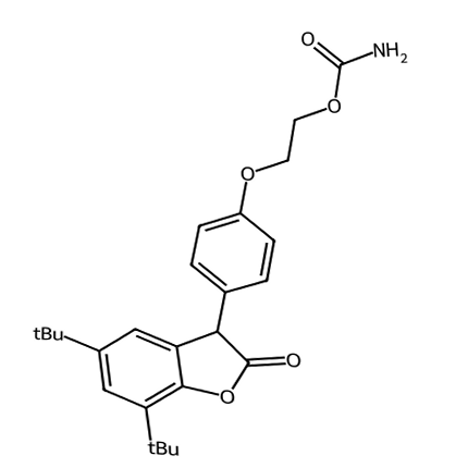 CC(C)(C)c1cc2c(c(C(C)(C)C)c1)OC(=O)C2c1ccc(OCCOC(N)=O)cc1